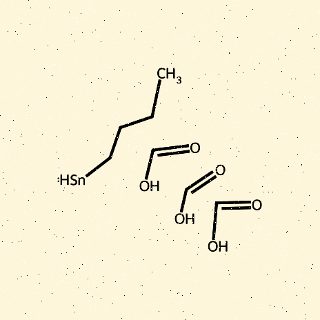 CCC[CH2][SnH].O=CO.O=CO.O=CO